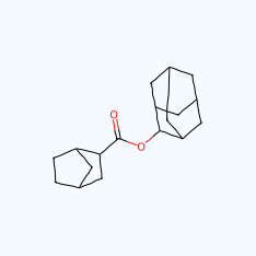 O=C(OC1C2CC3CC(C2)CC1C3)C1CC2CCC1C2